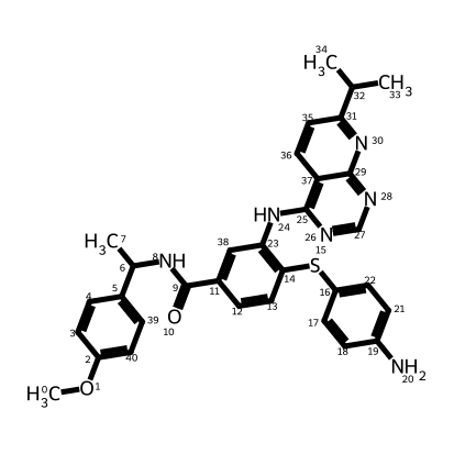 COc1ccc(C(C)NC(=O)c2ccc(Sc3ccc(N)cc3)c(Nc3ncnc4nc(C(C)C)ccc34)c2)cc1